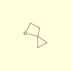 C1CC2(CC2)O1